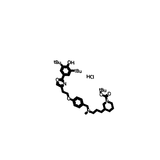 CN(CCCC1CCCN(C(=O)OC(C)(C)C)C1)Cc1ccc(OCCc2coc(-c3cc(C(C)(C)C)c(O)c(C(C)(C)C)c3)n2)cc1.Cl